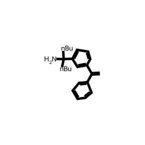 C=C(c1ccccc1)c1cccc(C(N)(CCCC)CCCC)c1